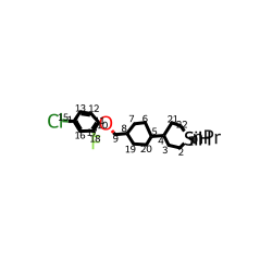 CCC[SiH]1CCC(C2CCC(COc3ccc(Cl)cc3F)CC2)CC1